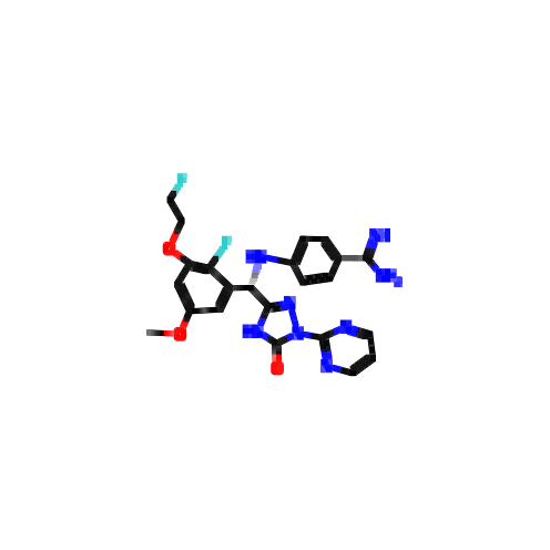 COc1cc(OCCF)c(F)c([C@H](Nc2ccc(C(=N)N)cc2)c2nn(-c3ncccn3)c(=O)[nH]2)c1